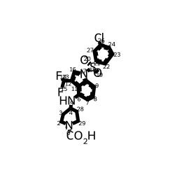 O=C(O)N1CCC(Nc2cccc3c2c(C(F)F)cn3S(=O)(=O)c2cccc(Cl)c2)CC1